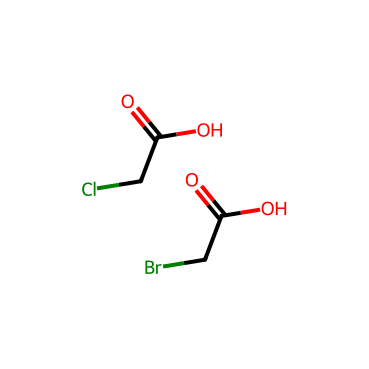 O=C(O)CBr.O=C(O)CCl